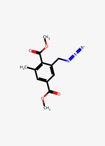 COC(=O)c1cc(C)c(C(=O)OC)c(CN=[N+]=[N-])c1